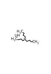 [CH2]CCCN(CCCC)CCCC.[LiH]